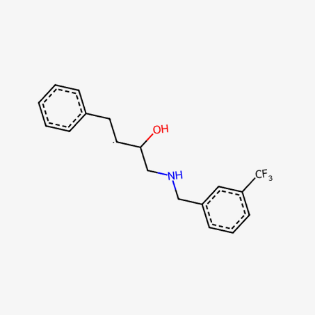 OC([CH]Cc1ccccc1)CNCc1cccc(C(F)(F)F)c1